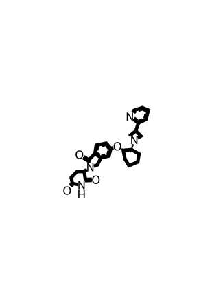 O=C1CCC(N2Cc3cc(O[C@@H]4CCCC[C@@H]4N4CC(c5ccccn5)C4)ccc3C2=O)C(=O)N1